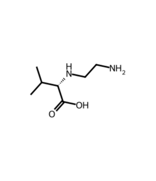 CC(C)[C@H](NCCN)C(=O)O